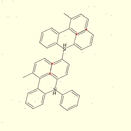 Cc1ccccc1-c1ccccc1[SiH](c1ccccc1)c1ccc([SiH](c2ccccc2)c2ccccc2-c2ccccc2C)cc1